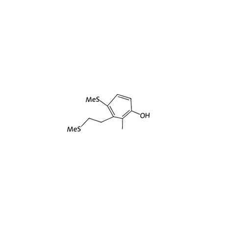 CSCCc1c(SC)ccc(O)c1C